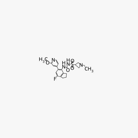 CCN1CC(S(=O)(=O)NC(=O)Nc2c(-c3ccnc(OC)c3)cc(F)c3c2CCC3)C1